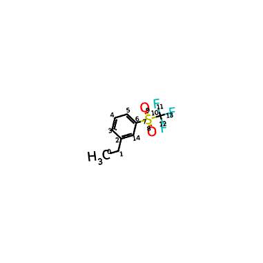 CCc1[c]ccc(S(=O)(=O)C(F)(F)F)c1